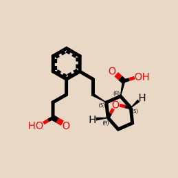 O=C(O)CCc1ccccc1CC[C@H]1[C@@H](C(=O)O)[C@@H]2CC[C@H]1O2